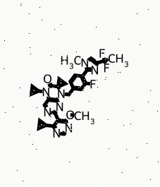 COc1ncnc(C2CC2)c1-c1ncc2c(n1)N(Cc1ccc(-c3nc(C(C)(F)F)cn3C)c(F)c1)C1(CC1)C(=O)N2C1CC1